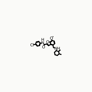 COc1ccc(CNC2CCCC(C)C2C)c2cc(C(=O)Nc3ccc(Cl)cc3)oc12